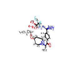 CCC(C(=O)c1ccc(C(=N)N)cc1)N1CCC(OCC(=O)O)CC1.O=C(O)C(F)(F)F